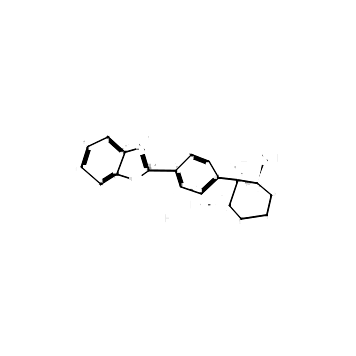 Cl.N[C@H]1CCC[C@H](O)[C@@]1(O)c1ccc(-c2nc3ccccc3o2)cc1